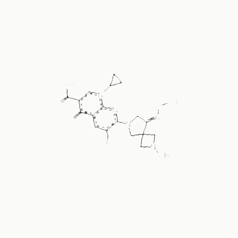 CON=C1CN(c2nc3c(cc2F)c(=O)c(C(=O)O)cn3C2CC2)CC12CN(C)C2